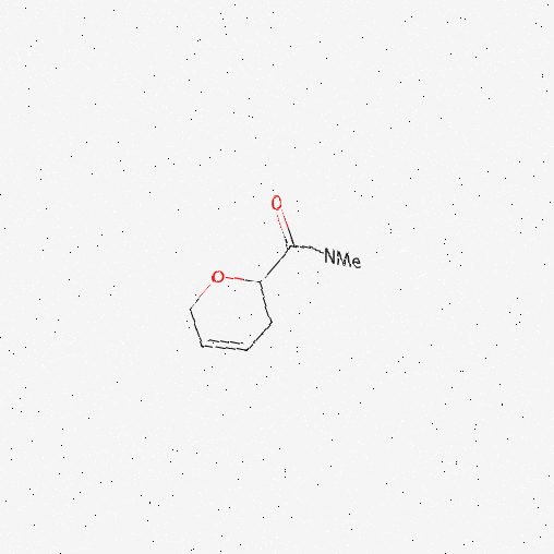 CNC(=O)C1CC=CCO1